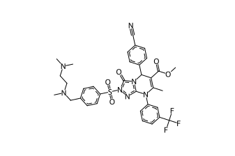 COC(=O)C1=C(C)N(c2cccc(C(F)(F)F)c2)c2nn(S(=O)(=O)c3ccc(CN(C)CCN(C)C)cc3)c(=O)n2C1c1ccc(C#N)cc1